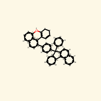 C1=CC2=C(CC1)Oc1cccc3ccc(-c4ccc(C5(c6ccccc6)c6ccccc6-c6c5ccc5ccccc65)cc4)c2c13